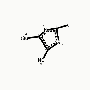 Cc1nc(C(C)(C)C)c(C#N)s1